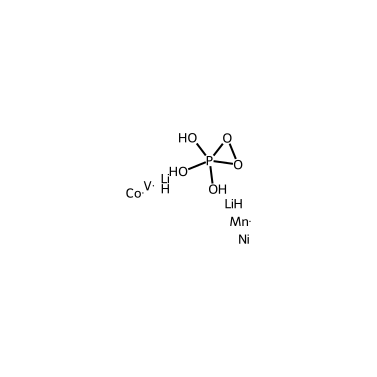 OP1(O)(O)OO1.[Co].[LiH].[LiH].[Mn].[Ni].[V]